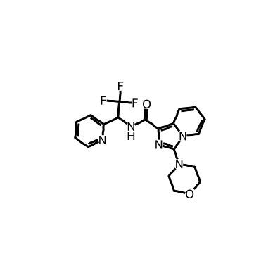 O=C(NC(c1ccccn1)C(F)(F)F)c1nc(N2CCOCC2)n2ccccc12